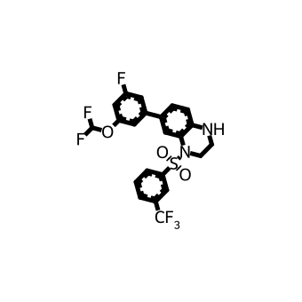 O=S(=O)(c1cccc(C(F)(F)F)c1)N1CCNc2ccc(-c3cc(F)cc(OC(F)F)c3)cc21